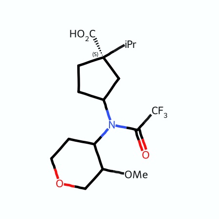 COC1COCCC1N(C(=O)C(F)(F)F)C1CC[C@@](C(=O)O)(C(C)C)C1